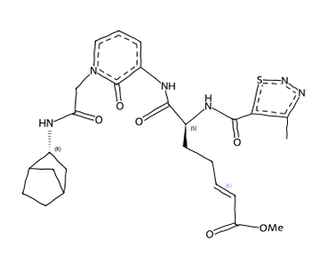 COC(=O)/C=C/CC[C@H](NC(=O)c1snnc1C)C(=O)Nc1cccn(CC(=O)N[C@@H]2CC3CCC2C3)c1=O